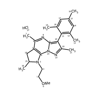 COCCN1c2c(c(C)nc3c(-c4c(C)cc(C)cc4C)c(C)nn23)CC1C.Cl